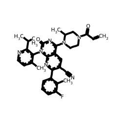 C=CC(=O)N1CCN(c2nc(=O)n(-c3c(C)ccnc3C(C)C)c3nc(-c4cccc(F)c4C)c(C#N)cc23)C(C)C1